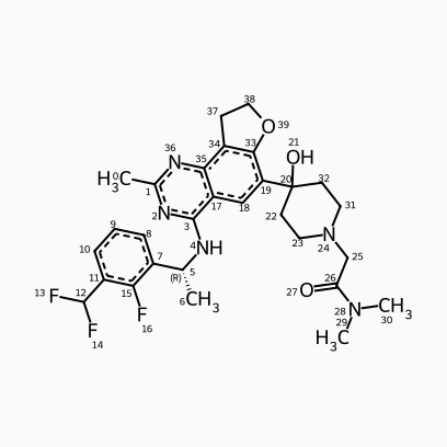 Cc1nc(N[C@H](C)c2cccc(C(F)F)c2F)c2cc(C3(O)CCN(CC(=O)N(C)C)CC3)c3c(c2n1)CCO3